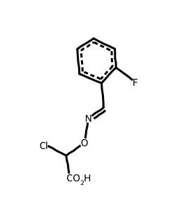 O=C(O)C(Cl)ON=Cc1ccccc1F